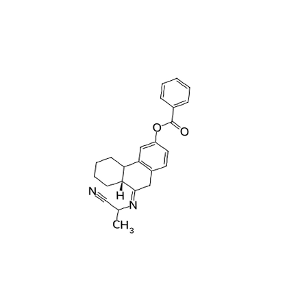 CC(C#N)/N=C1/Cc2ccc(OC(=O)c3ccccc3)cc2C2CCCC[C@@H]12